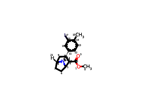 COC(=O)C1C2CC[C@H](C[C@@H]1c1ccc(C)c(I)c1)N2C